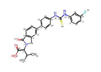 CC(C)C(C(=O)O)N1Cc2cc(-c3ccc(NC(=S)Nc4cccc(F)c4)cc3)ccc2C1=O